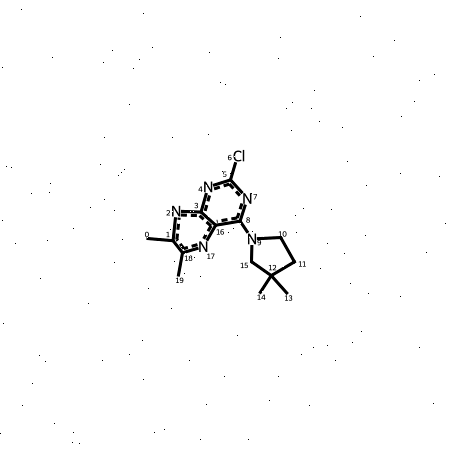 Cc1nc2nc(Cl)nc(N3CCC(C)(C)C3)c2nc1C